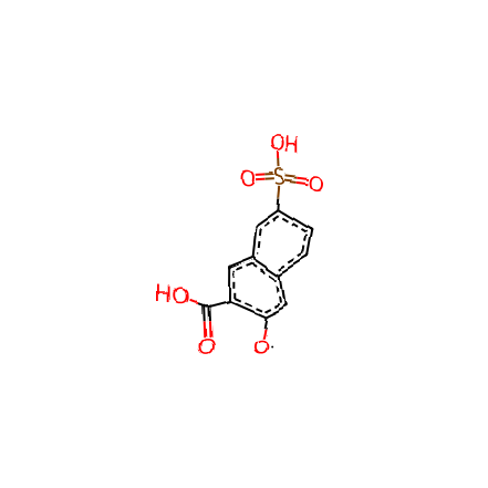 [O]c1cc2ccc(S(=O)(=O)O)cc2cc1C(=O)O